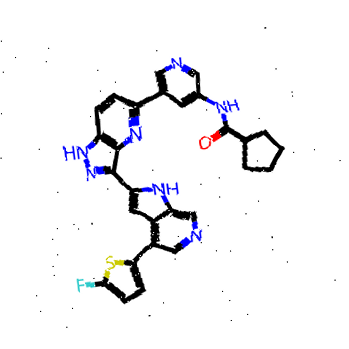 O=C(Nc1cncc(-c2ccc3[nH]nc(-c4cc5c(-c6ccc(F)s6)cncc5[nH]4)c3n2)c1)C1CCCC1